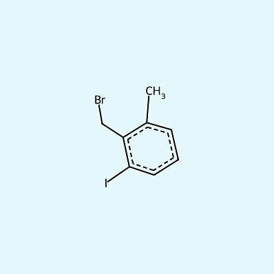 Cc1cccc(I)c1CBr